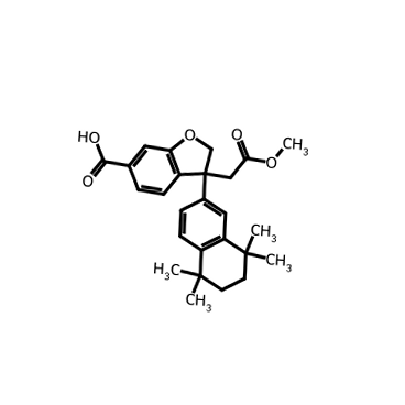 COC(=O)CC1(c2ccc3c(c2)C(C)(C)CCC3(C)C)COc2cc(C(=O)O)ccc21